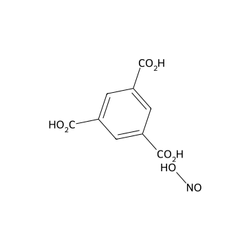 O=C(O)c1cc(C(=O)O)cc(C(=O)O)c1.O=NO